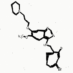 COc1cc2c(NCC3=C=CC/C=C(Br)\C=C/3F)ncnc2cc1OCCCN1CCCCC1